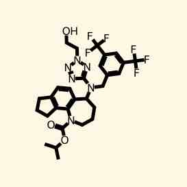 CC(C)OC(=O)N1CCCC(N(Cc2cc(C(F)(F)F)cc(C(F)(F)F)c2)c2nnn(CCO)n2)c2ccc3c(c21)CCC3